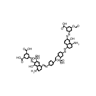 Nc1ccc(N=Nc2ccc(/C=C/c3ccc(N=Nc4ccc(N)c5c(O)c(/N=N/c6cc(C(=O)O)cc(C(=O)O)c6)c(S(=O)(=O)O)cc45)cc3)c(S(=O)(=O)O)c2)c2ccc(N=Nc3cc(OC=O)cc(C(=O)O)c3)c(O)c12